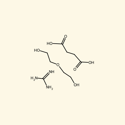 N=C(N)N.O=C(O)CCC(=O)O.OCCOCCO